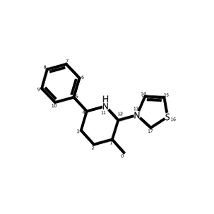 CC1CCC(c2ccccc2)NC1N1[C]=CSC1